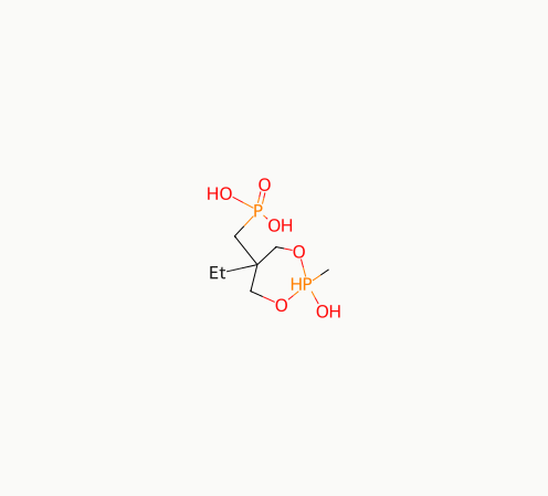 CCC1(CP(=O)(O)O)CO[PH](C)(O)OC1